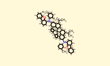 Cc1cccc(N(c2ccc3c4c(cc(C(C)C)c3c2)-c2cc(C(C)C)c3cc(N(c5cccc(C)c5)c5cccc6c5oc5ccccc56)ccc3c2C42c3ccccc3-c3ccccc32)c2cccc3c2oc2ccccc23)c1